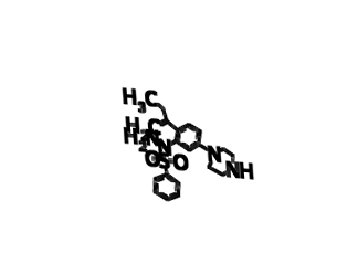 C=C(CC)c1ccc(N2CCNCC2)cc1N(N)S(=O)(=O)c1ccccc1